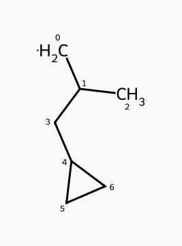 [CH2]C(C)CC1CC1